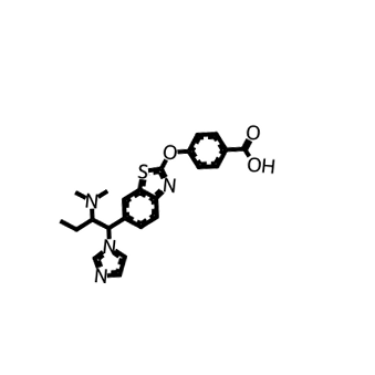 CCC(C(c1ccc2nc(Oc3ccc(C(=O)O)cc3)sc2c1)n1ccnc1)N(C)C